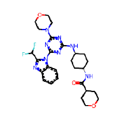 O=C(N[C@H]1CC[C@H](Nc2nc(N3CCOCC3)nc(-n3c(C(F)F)nc4ccccc43)n2)CC1)C1CCOCC1